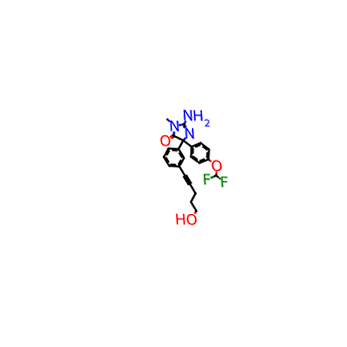 CN1C(=O)C(c2ccc(OC(F)F)cc2)(c2cccc(C#CCCCO)c2)N=C1N